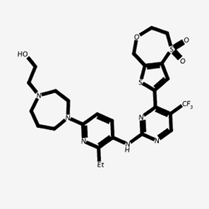 CCc1nc(N2CCCN(CCO)CC2)ccc1Nc1ncc(C(F)(F)F)c(-c2cc3c(s2)COCCS3(=O)=O)n1